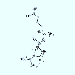 CCN(CC)CCCNC(N)=NC(=O)c1cc2c(C(C)(C)C)cccc2[nH]1